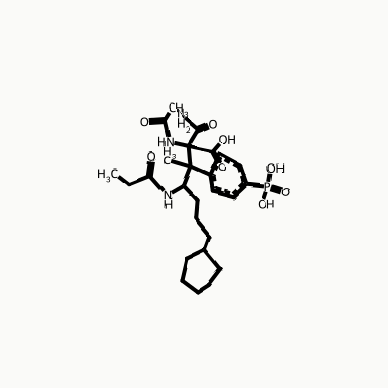 CCC(=O)NC(CCCC1CCCCC1)C(C)(c1ccc(P(=O)(O)O)cc1)C(NC(C)=O)(C(N)=O)C(=O)O